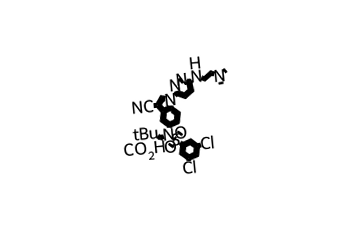 CN(C)CCNc1ccc(-n2cc(C#N)c3cc(N(C(C(=O)O)C(C)(C)C)S(=O)(=O)c4cc(Cl)cc(Cl)c4)ccc32)nn1